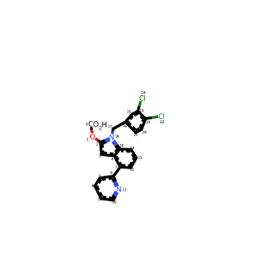 O=C(O)Oc1cc2c(-c3ccccn3)cccc2n1Cc1ccc(Cl)c(Cl)c1